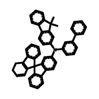 CC1(C)c2ccccc2-c2ccc(N(c3cccc(-c4ccccc4)c3)c3ccc4c(c3)C3(C5=C(CCC=C5)c5ccccc53)c3ccccc3-4)cc21